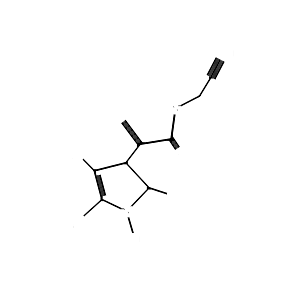 C#CCNC(=O)C(=O)C1C(C)=C(C)N(C)C1C